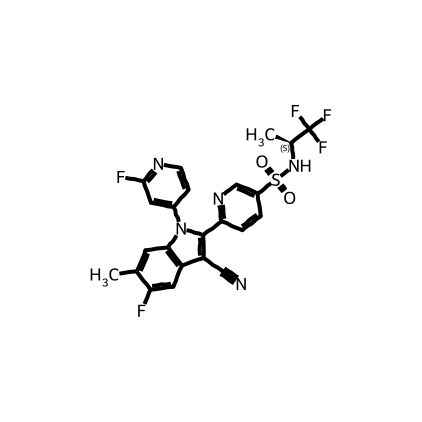 Cc1cc2c(cc1F)c(C#N)c(-c1ccc(S(=O)(=O)N[C@@H](C)C(F)(F)F)cn1)n2-c1ccnc(F)c1